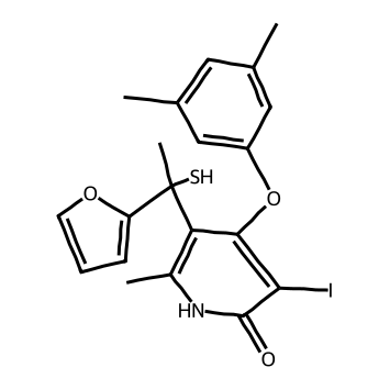 Cc1cc(C)cc(Oc2c(C(C)(S)c3ccco3)c(C)[nH]c(=O)c2I)c1